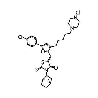 O=C1/C(=C/c2oc(-c3ccc(Cl)cc3)cc2CCCCCN2CCN(Cl)CC2)SC(=S)N1C1CC2CCC1C2